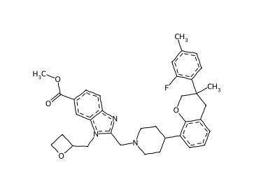 COC(=O)c1ccc2nc(CN3CCC(c4cccc5c4OCC(C)(c4ccc(C)cc4F)C5)CC3)n(CC3CCO3)c2c1